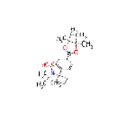 CC(C)(C)N(C(=O)O)C1(c2ccc(B3OC(C)(C)C(C)(C)O3)cc2)CCC1